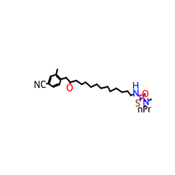 CCCSP(=O)(NCCCCCCCCCCCCC(=O)Cc1ccc(C#N)cc1C)N(C)C